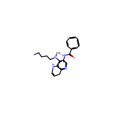 CN(CCCCI)c1c(NC(=O)C2=C/C=C\C=C/C=C\2)cnc2c1NC=CC2